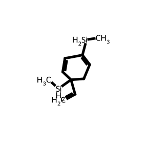 C=CC1([SiH2]C)C=CC([SiH2]C)=CC1